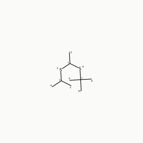 [CH2]C(SC(C)C)SC(C)(C)C